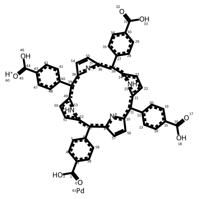 O=C(O)c1ccc(-c2c3nc(c(-c4ccc(C(=O)O)cc4)c4ccc([nH]4)c(-c4ccc(C(=O)O)cc4)c4nc(c(-c5ccc(C(=O)O)cc5)c5ccc2[nH]5)C=C4)C=C3)cc1.[H+].[Pd]